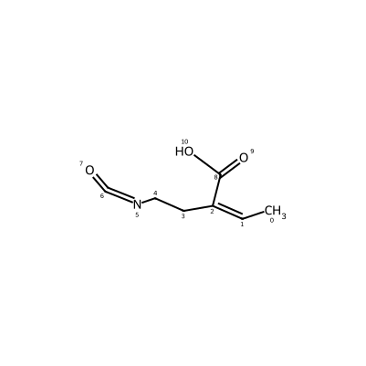 CC=C(CCN=C=O)C(=O)O